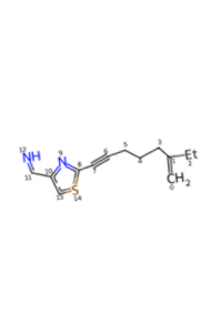 C=C(CC)CCCC#Cc1nc(C=N)cs1